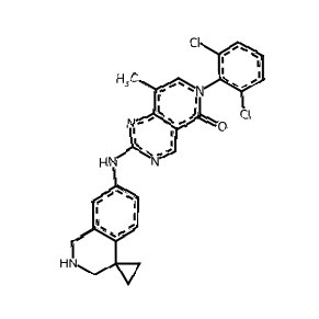 Cc1cn(-c2c(Cl)cccc2Cl)c(=O)c2cnc(Nc3ccc4c(c3)CNCC43CC3)nc12